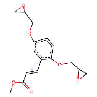 COC(=O)/C=C/c1cc(OCC2CO2)ccc1OCC1CO1